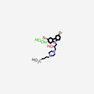 Cl.Cl.O=C(O)CCCCN1CCN(C[C@@H](O)Cn2c3ccc(Br)cc3c3cc(Br)ccc32)CC1